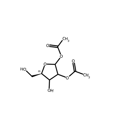 CC(=O)OC1O[C@H](CO)C(O)C1OC(C)=O